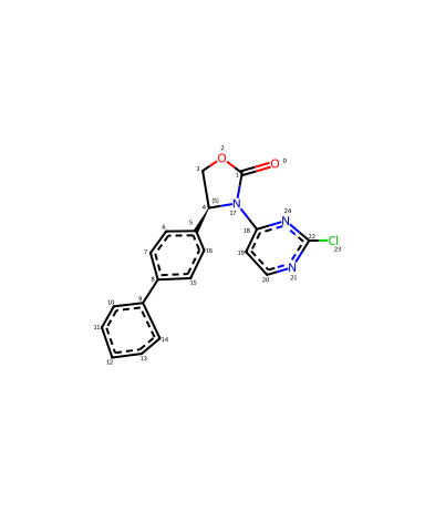 O=C1OC[C@H](c2ccc(-c3ccccc3)cc2)N1c1ccnc(Cl)n1